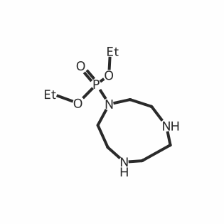 CCOP(=O)(OCC)N1CCNCCNCC1